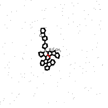 CC1(C)c2ccccc2-c2ccc(N(c3ccc(-c4ccc5c6c(oc5c4)CCC=C6)cc3)c3ccccc3-c3cccc4c3-c3ccccc3C43c4ccccc4-c4ccccc43)cc21